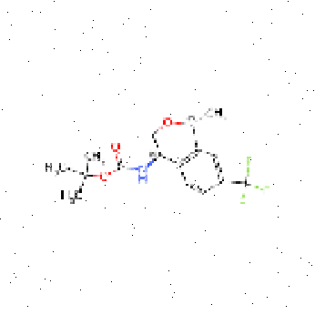 C[C@H]1OC[C@H](NC(=O)OC(C)(C)C)c2ccc(C(F)(F)F)cc21